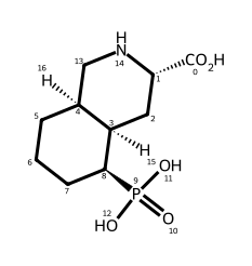 O=C(O)[C@@H]1C[C@@H]2[C@@H](CCC[C@@H]2P(=O)(O)O)CN1